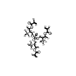 C=C(C)C(=O)OC(C)C(COP(=O)(OCC(C(C)OC(=O)C(=C)C)[N+](C)(C)C)OCC(C(C)OC(=O)C(=C)C)[N+](C)(C)C)[N+](C)(C)C